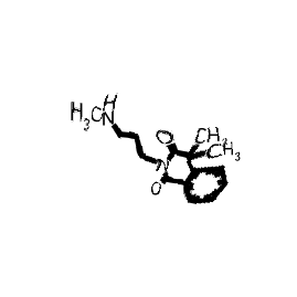 CNCCCN1C(=O)c2ccccc2C(C)(C)C1=O